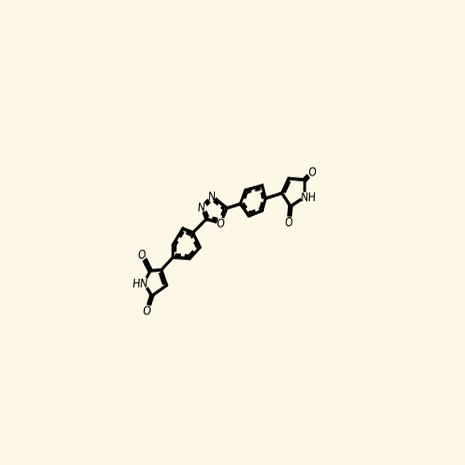 O=C1C=C(c2ccc(-c3nnc(-c4ccc(C5=CC(=O)NC5=O)cc4)o3)cc2)C(=O)N1